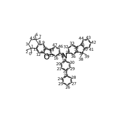 CC1(C)CCC(C)(C)c2cc3c(cc21)oc1cc(N(c2ccc(-c4ccccc4)cc2)c2ccc4c(c2)C(C)(C)c2ccccc2-4)ccc13